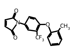 Cc1ccccc1Oc1ccc(N2C(=O)C=CC2=O)cc1C(F)(F)F